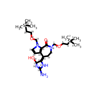 C[Si](C)(C)CCOCN1CCC(=C2NC(N)=NC2O)c2ccn(COCC[Si](C)(C)C)c2C1=O